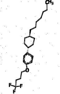 CCCCCCC[C@H]1CC[C@H](c2ccc(OCCCC(F)(F)F)cc2)CC1